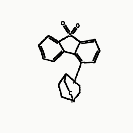 O=S1(=O)c2ccccc2-c2c(N3CCN4CCC3CC4)cccc21